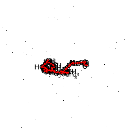 C=C1[C@H](C)C[C@@H]2CC[C@@H]3O[C@@H](CC[C@]45C[C@@H](O)[C@@H]6C(O4)[C@@H]4[C@H]6O[C@H]6CC[C@H](CC(=O)C[C@@H]7[C@@H](OC)[C@@H](C[C@H](O)CNC(=O)OCc8ccc(N(CCOCCOCCOCCn9cc(COCCOCCOCCC(=O)ON%10C(=O)CCC%10=O)nn9)C(=O)OCC(C)(C)SSC)cc8)O[C@H]7C[C@H]1O2)O[C@@H]6[C@@H]4O5)CC3(C)C